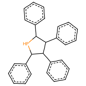 c1ccc(C2PC(c3ccccc3)C(c3ccccc3)C2c2ccccc2)cc1